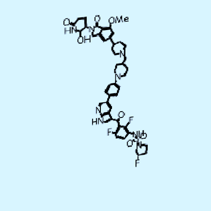 COc1cc(C2CCN(CC3CCN(c4ccc(-c5cnc6[nH]cc(C(=O)c7c(F)ccc(NS(=O)(=O)N8CC[C@@H](F)C8)c7F)c6c5)cc4)CC3)CC2)cc2c1C(=O)N(C1CCC(=O)NC1O)C2